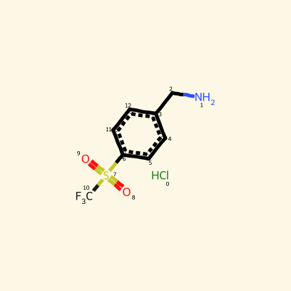 Cl.NCc1ccc(S(=O)(=O)C(F)(F)F)cc1